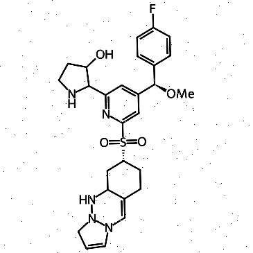 CO[C@H](c1ccc(F)cc1)c1cc(C2NCCC2O)nc(S(=O)(=O)[C@@H]2CCC3=CN4C=CCN4NC3C2)c1